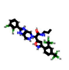 CCCNC(=O)C(c1cc(-c2ccc(C(F)(F)F)cc2C(F)(F)F)no1)N1Cc2nc(-c3cccc(F)c3F)[nH]c2C=N1